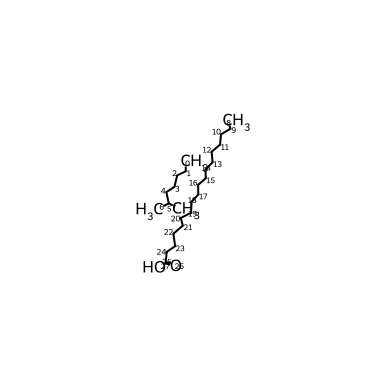 CCCCCC(C)C.CCCCCCCCCCCCCCCCCC(=O)O